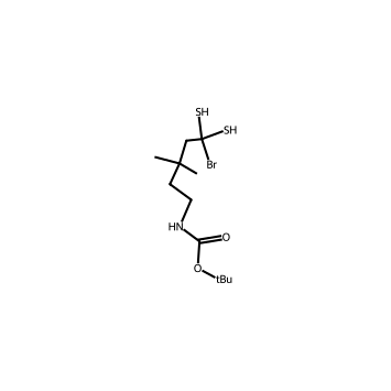 CC(C)(CCNC(=O)OC(C)(C)C)CC(S)(S)Br